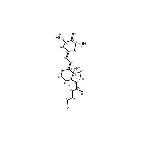 C=C1[C@H](O)CC(=C/C=C2\CCC[C@]3(C)[C@@H]([C@@H](C)CCCC)CC[C@@H]23)C[C@H]1O